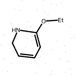 CCOC1=CC=CCN1